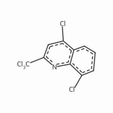 Clc1cc(C(Cl)(Cl)Cl)nc2c(Cl)cccc12